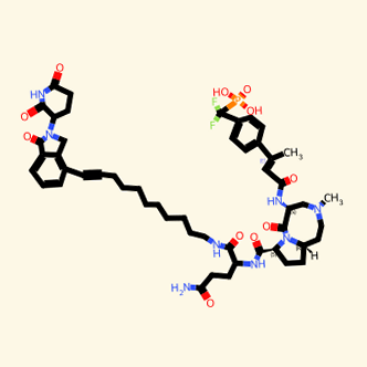 C/C(=C\C(=O)N[C@H]1CN(C)CC[C@H]2CC[C@@H](C(=O)NC(CCC(N)=O)C(=O)NCCCCCCCCCC#Cc3cccc4c3CN(C3CCC(=O)NC3=O)C4=O)N2C1=O)c1ccc(C(F)(F)P(=O)(O)O)cc1